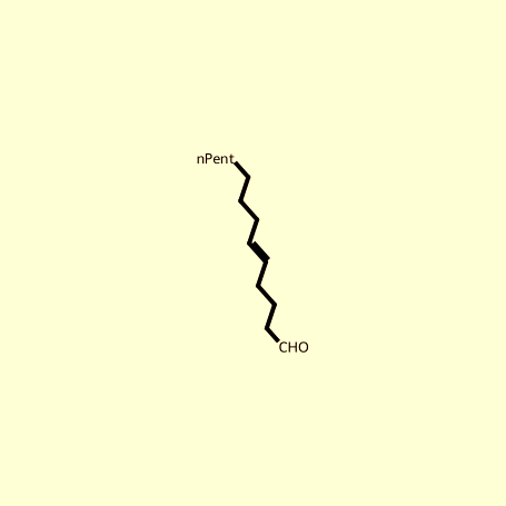 CCCCCCCCC=CCCCC=O